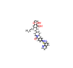 CCCC1C=C(OC)C(O)=C(O)C1CCC1CCCN(C(=O)c2ccc(NSc3cccc4c3N=CCC4)cc2)CC1